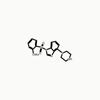 COc1ccccc1S(=O)(=O)n1cnc2c(N3CCNCC3)cccc21